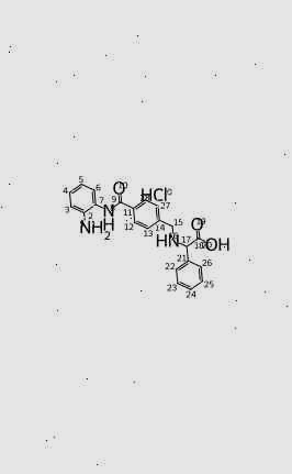 Cl.Nc1ccccc1NC(=O)c1ccc(CNC(C(=O)O)c2ccccc2)cc1